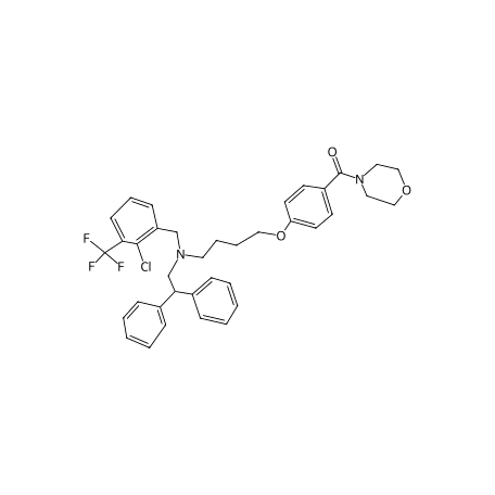 O=C(c1ccc(OCCCCN(Cc2cccc(C(F)(F)F)c2Cl)CC(c2ccccc2)c2ccccc2)cc1)N1CCOCC1